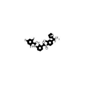 O=C(Nc1cccc(C(=O)N(Cl)c2ccc(C(F)(c3cccs3)C(F)(F)F)cc2Cl)c1F)c1c(F)cc(F)cc1F